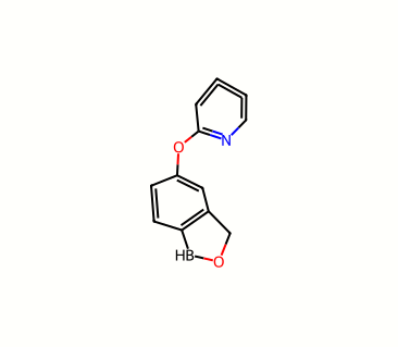 B1OCc2cc(OC3=NC=C=C=C3)ccc21